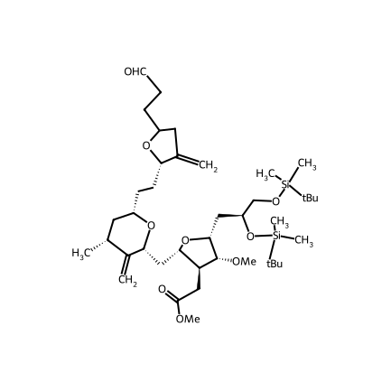 C=C1CC(CCC=O)O[C@H]1CC[C@H]1C[C@@H](C)C(=C)[C@@H](C[C@@H]2O[C@H](C[C@@H](CO[Si](C)(C)C(C)(C)C)O[Si](C)(C)C(C)(C)C)[C@H](OC)[C@H]2CC(=O)OC)O1